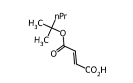 CCCC(C)(C)OC(=O)/C=C/C(=O)O